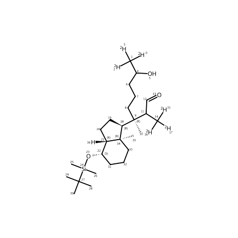 [2H]C([2H])([2H])C(O)CCC[C@@](C)(C(C=O)C([2H])([2H])[2H])[C@@H]1CC[C@H]2[C@@H](O[Si](C)(C)C(C)(C)C)CCC[C@]12C